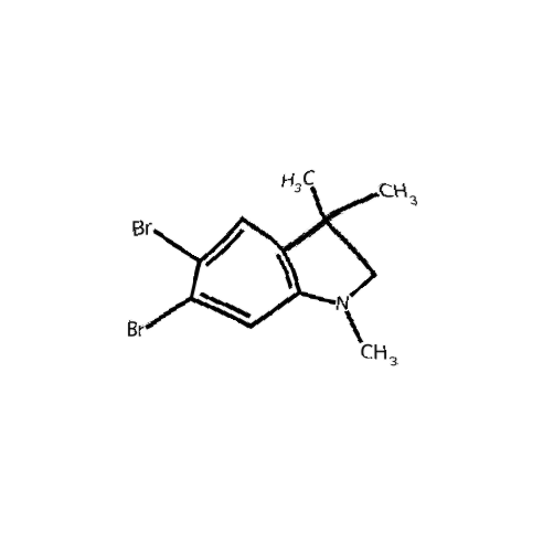 CN1CC(C)(C)c2cc(Br)c(Br)cc21